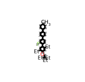 CCc1cc(-c2ccc(-c3ccc(C4CCC(C)CC4)cc3)cc2F)c(CC)cc1OCC(CC)(CC)CC